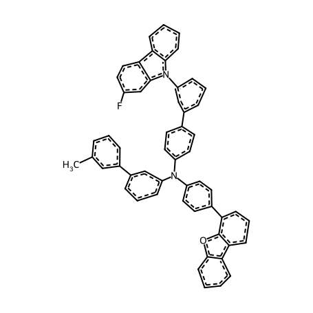 Cc1cccc(-c2cccc(N(c3ccc(-c4cccc(-n5c6ccccc6c6ccc(F)cc65)c4)cc3)c3ccc(-c4cccc5c4oc4ccccc45)cc3)c2)c1